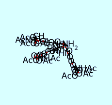 CC(=O)NC(C(OC(C)=O)OC(C)=O)C(OCCOCCOCCOCCNC(=O)CCOCC(N)(COCCC(=O)NCCOCCOCCOCCOC1OC(COC(C)=O)C(OC(C)=O)C(OC(C)=O)C1NC(C)=O)COCCC(=O)NCCOCCOCCOCCOC1OC(COC(C)=O)C(OC(C)=O)C(OC(C)=O)C1NC(C)=O)OC(C)COC(C)=O